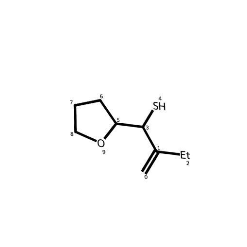 C=C(CC)C(S)C1CCCO1